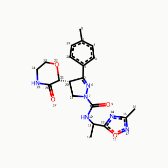 Cc1ccc(C2=NN(C(=O)NC(C)c3nc(C)no3)C[C@@H]2C2OCCNC2=O)cc1